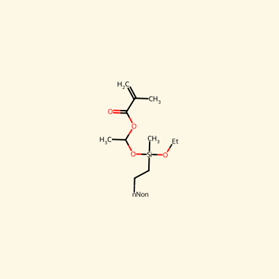 C=C(C)C(=O)OC(C)O[Si](C)(CCCCCCCCCCC)OCC